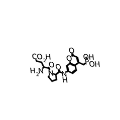 NC(CCC(=O)O)C(=O)N1CCCC1C(=O)Nc1ccc2c(CP(O)O)cc(=O)oc2c1